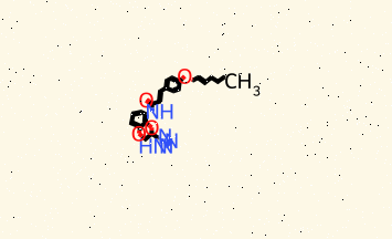 CCCC/C=C/COc1ccc(C=CC(=O)Nc2cccc3c2OC(c2nnn[nH]2)CO3)cc1